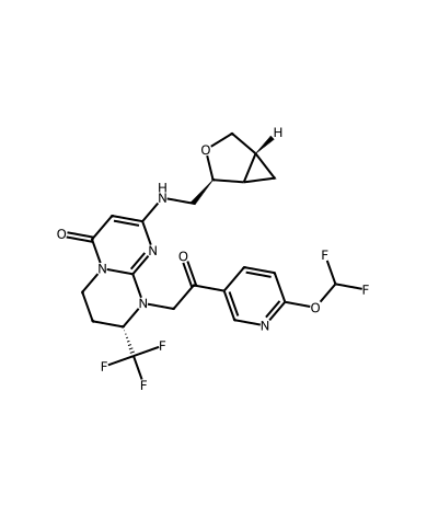 O=C(CN1c2nc(NC[C@H]3OC[C@@H]4CC43)cc(=O)n2CC[C@H]1C(F)(F)F)c1ccc(OC(F)F)nc1